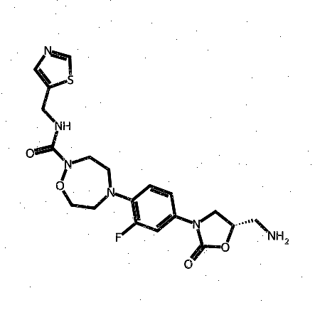 NC[C@H]1CN(c2ccc(N3CCON(C(=O)NCc4cncs4)CC3)c(F)c2)C(=O)O1